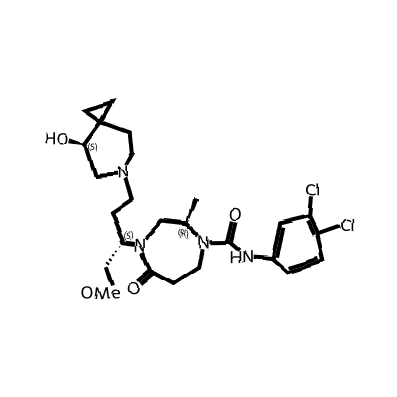 COC[C@H](CCN1CCC2(CC2)[C@H](O)C1)N1C[C@@H](C)N(C(=O)Nc2ccc(Cl)c(Cl)c2)CCC1=O